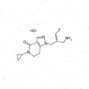 Cl.NCC(=CF)Cn1ncc2c1CCN(C1CC1)C2=O